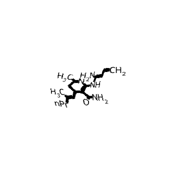 C=C/C=C(\N)NC1=C(C(N)=O)C(/C=C(\C)CCC)CC(C)=N1